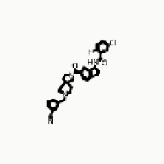 N#Cc1cccc(CN2CCC3(CC2)CCN(C(=O)c2ccc4c(c2)C(NC(=O)c2cc(Cl)ccc2F)CC4)C3)c1